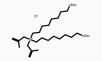 C=C(C)C[N+](CCCCCCCCCCCCCCCCCC)(CCCCCCCCCCCCCCCCCC)CC(=C)C.[Cl-]